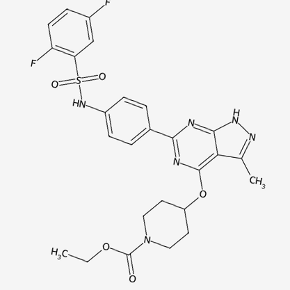 CCOC(=O)N1CCC(Oc2nc(-c3ccc(NS(=O)(=O)c4cc(F)ccc4F)cc3)nc3[nH]nc(C)c23)CC1